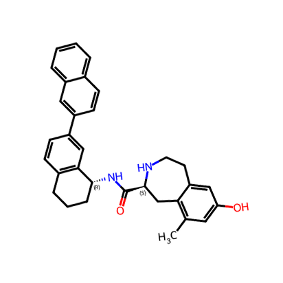 Cc1cc(O)cc2c1C[C@@H](C(=O)N[C@@H]1CCCc3ccc(-c4ccc5ccccc5c4)cc31)NCC2